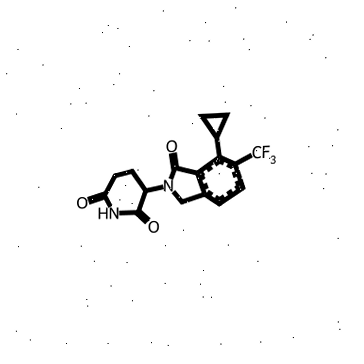 O=C1CCC(N2Cc3ccc(C(F)(F)F)c(C4CC4)c3C2=O)C(=O)N1